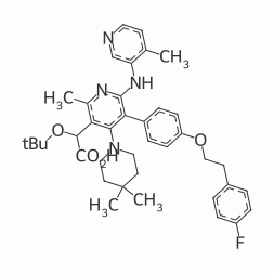 Cc1ccncc1Nc1nc(C)c(C(OC(C)(C)C)C(=O)O)c(N2CCC(C)(C)CC2)c1-c1ccc(OCCc2ccc(F)cc2)cc1